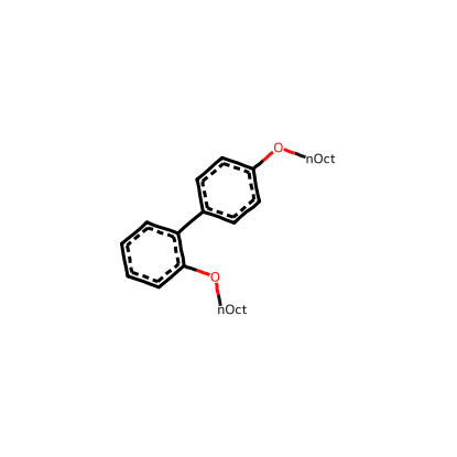 CCCCCCCCOc1ccc(-c2ccccc2OCCCCCCCC)cc1